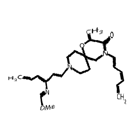 C=C/C=C\C=C\N1CC2(CCN(CCC(=C/C=C)/N=C/OC)CC2)OC(C)C1=O